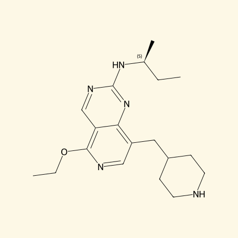 CCOc1ncc(CC2CCNCC2)c2nc(N[C@@H](C)CC)ncc12